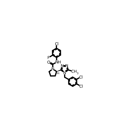 Cc1nnc([C@H]2CCCN2C(=O)Nc2ccc(Cl)cc2F)n1Cc1ccc(Cl)c(Cl)c1